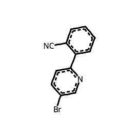 N#Cc1ccccc1-c1ccc(Br)cn1